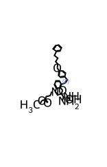 CCOC(=O)CCCN1CC(C(N)NO)Oc2c(/C=C\c3ccc(OCCCCc4ccccc4)cc3)cccc21